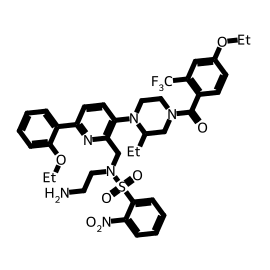 CCOc1ccc(C(=O)N2CCN(c3ccc(-c4ccccc4OCC)nc3CN(CCN)S(=O)(=O)c3ccccc3[N+](=O)[O-])C(CC)C2)c(C(F)(F)F)c1